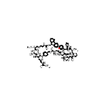 CC[C@H](C)[C@@H]([C@@H](CC(=O)N1CCC[C@H]1[C@H](OC)[C@@H](C)C(=O)N[C@@H](Cc1ccccc1)c1nccs1)OC)N(C)C(=O)[C@@H](NC(=O)C(C)(C)CNC(=O)OCc1ccc(NC(=O)[C@H](CCCNC(N)=O)NC(=O)[C@@H](NC(=O)[C@@H](COCCNC(=O)OCC2c3ccccc3-c3ccccc32)NC(C)=O)C(C)C)cc1)C(C)C